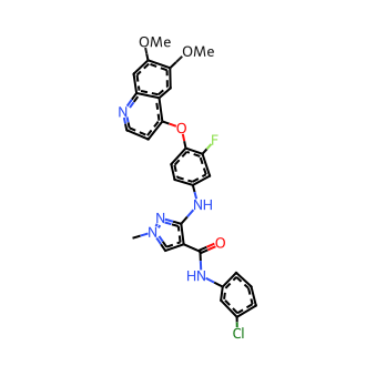 COc1cc2nccc(Oc3ccc(Nc4nn(C)cc4C(=O)Nc4cccc(Cl)c4)cc3F)c2cc1OC